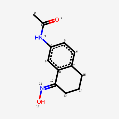 CC(=O)Nc1ccc2c(c1)C(=NO)CCC2